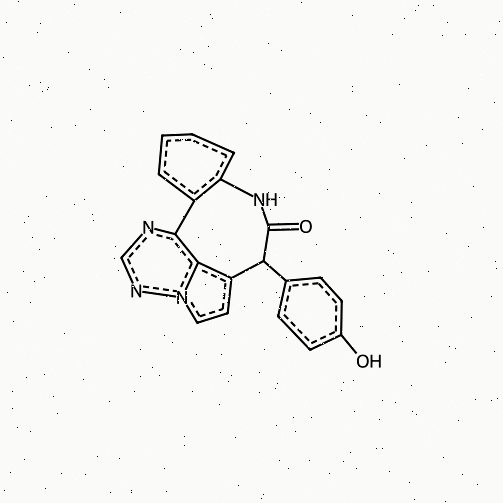 O=C1Nc2ccccc2-c2ncnn3ccc(c23)C1c1ccc(O)cc1